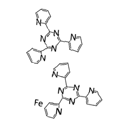 [Fe].c1ccc(-c2nc(-c3ccccn3)nc(-c3ccccn3)n2)nc1.c1ccc(-c2nc(-c3ccccn3)nc(-c3ccccn3)n2)nc1